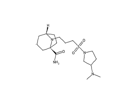 CN(C)C1CCN(S(=O)(=O)CCCN2[C@@H]3C[CH]C[C@@]2(C(N)=O)CC3)C1